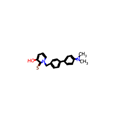 CN(C)c1ccc(-c2ccc(Cn3cccc(O)c3=S)cc2)cc1